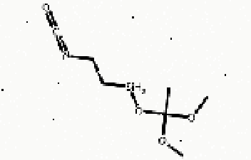 COC(C)(OC)O[SiH2]CCN=C=O